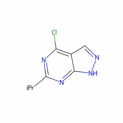 CC(C)c1nc(Cl)c2cn[nH]c2n1